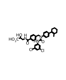 CC1=C(c2ccc(N(Cc3ccc(C(=O)NCC(O)C(=O)O)cc3)C(=O)Nc3cc(Cl)cc(Cl)c3)cc2)CCCC1